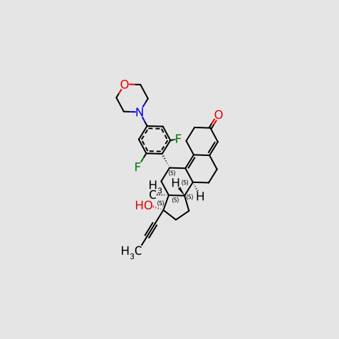 CC#C[C@]1(O)CC[C@H]2[C@@H]3CCC4=CC(=O)CCC4=C3[C@@H](c3c(F)cc(N4CCOCC4)cc3F)C[C@@]21C